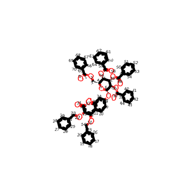 O=C(OC[C@H]1O[C@@H](Oc2ccc3c(OCc4ccccc4)c(OCc4ccccc4)c(=O)oc3c2)[C@H](OC(=O)c2ccccc2)[C@@H](OC(=O)c2ccccc2)[C@H]1OC(=O)c1ccccc1)c1ccccc1